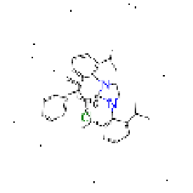 C=C[CH](c1ccccc1)[Pd]([Cl])=[C]1N(c2c(C(C)C)cccc2C(C)C)CCN1c1c(C(C)C)cccc1C(C)C